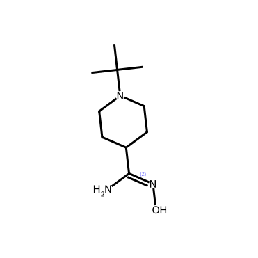 CC(C)(C)N1CCC(/C(N)=N/O)CC1